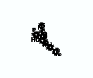 CN1CCC(c2ccc(-c3nc4c(s3)C(=O)N(C(C(=O)CCc3nccs3)c3cc(F)ccc3O)CC4)cc2)CC1